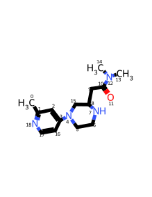 Cc1cc(N2CCNC(CC(=O)N(C)C)C2)ccn1